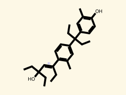 CC/C(=C\C(O)(CC)CC)c1ccc(C(CC)(CC)c2ccc(O)c(C)c2)cc1C